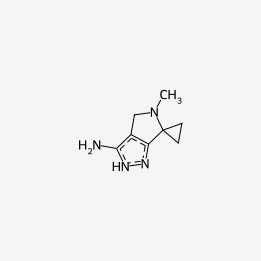 CN1Cc2c(n[nH]c2N)C12CC2